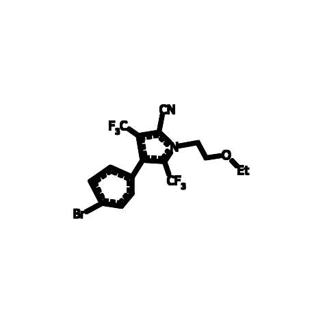 CCOCCn1c(C#N)c(C(F)(F)F)c(-c2ccc(Br)cc2)c1C(F)(F)F